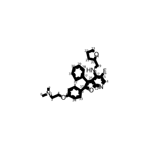 CN(C)CCOc1ccc(-c2oc3ncc(F)c(NCC4CCCO4)c3c2-c2ccccc2)cc1